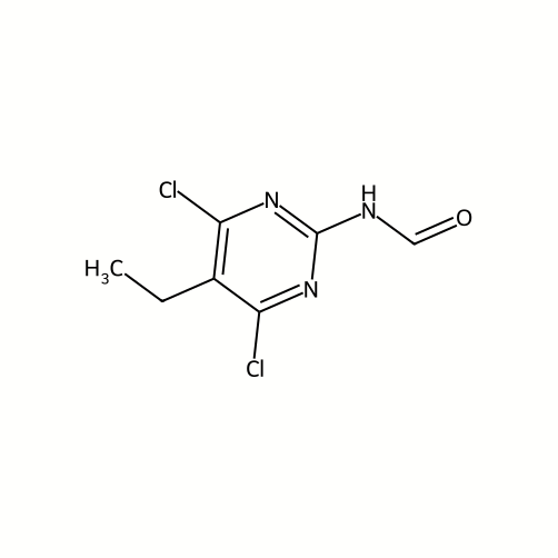 CCc1c(Cl)nc(NC=O)nc1Cl